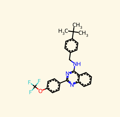 CC(C)(C)c1ccc(CNc2nc(-c3ccc(OC(F)(F)F)cc3)nc3ccccc23)cc1